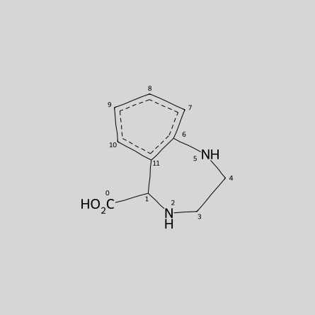 O=C(O)C1NCCNc2ccccc21